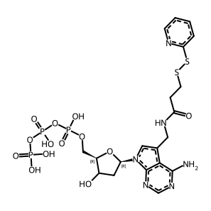 Nc1ncnc2c1c(CNC(=O)CCSSc1ccccn1)cn2[C@H]1CC(O)[C@@H](COP(=O)(O)OP(=O)(O)OP(=O)(O)O)O1